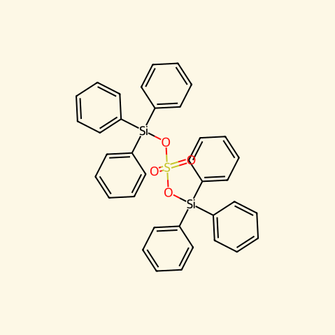 O=S(=O)(O[Si](c1ccccc1)(c1ccccc1)c1ccccc1)O[Si](c1ccccc1)(c1ccccc1)c1ccccc1